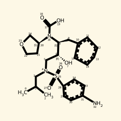 CC(C)CN(C[C@@H](O)[C@H](Cc1ccccc1)N(C(=O)O)[C@H]1CCOC1)S(=O)(=O)c1ccc(N)cc1